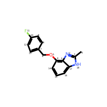 Cc1nc2c(OCc3ccc(F)cc3)cccc2[nH]1